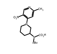 CCCCN(C(=O)O)C1CCCN(c2cc(C)ncc2[N+](=O)[O-])C1